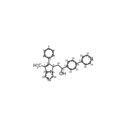 CC1=C(c2ccccc2)C(CC(O)c2ccc(-c3ccncc3)cc2)n2cncc21